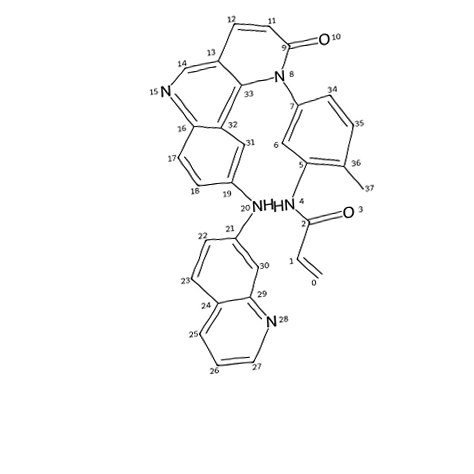 C=CC(=O)Nc1cc(-n2c(=O)ccc3cnc4ccc(Nc5ccc6cccnc6c5)cc4c32)ccc1C